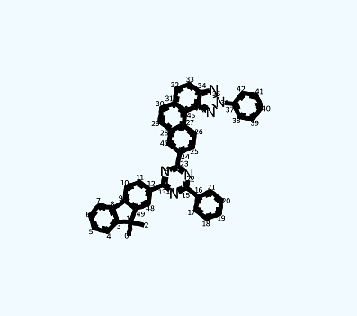 CC1(C)c2ccccc2-c2ccc(-c3nc(-c4ccccc4)nc(-c4ccc5c(ccc6ccc7nn(-c8ccccc8)nc7c65)c4)n3)cc21